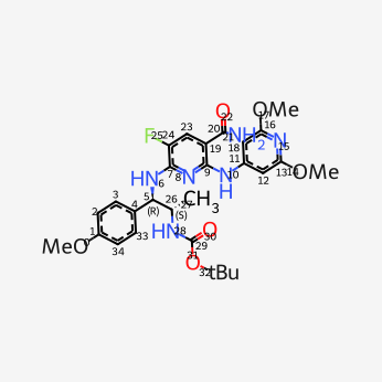 COc1ccc([C@@H](Nc2nc(Nc3cc(OC)nc(OC)c3)c(C(N)=O)cc2F)[C@H](C)NC(=O)OC(C)(C)C)cc1